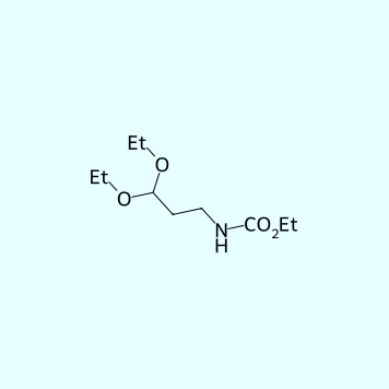 CCOC(=O)NCCC(OCC)OCC